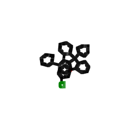 Clc1cccc(-c2ccccc2C2(c3ccccc3)c3ccccc3-c3c(-c4ccccc4)cccc32)c1